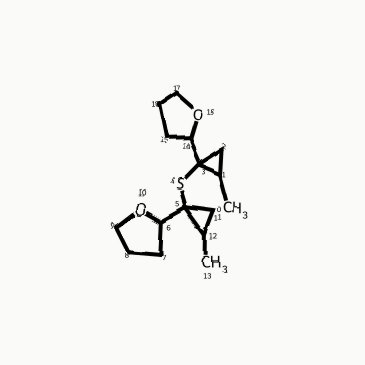 CC1CC1(SC1(C2CCCO2)CC1C)C1CCCO1